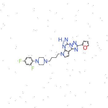 Nc1nc2c(ccn2CCCCN2CCN(c3ccc(F)cc3F)CC2)c2nc(-c3ccco3)nn12